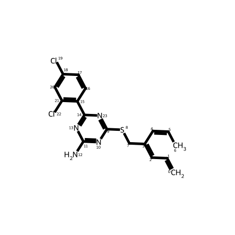 C=C/C=C(\C=C/C)CSc1nc(N)nc(-c2ccc(Cl)cc2Cl)n1